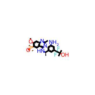 COc1cc2nc(C)nc(N[C@H](C)c3cc(N)cc(C(F)(F)C(C)(C)O)c3)c2cc1P(C)(C)=O